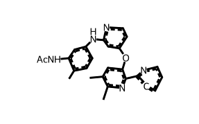 CC(=O)Nc1cc(Nc2cc(Oc3cc(C)c(C)nc3-c3ccccn3)ccn2)ccc1C